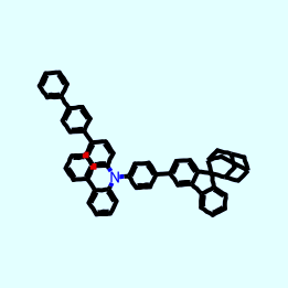 c1ccc(-c2ccc(-c3ccc(N(c4ccc(-c5ccc6c(c5)-c5ccccc5C65C6CC7CC(C6)CC5C7)cc4)c4ccccc4-c4ccccc4)cc3)cc2)cc1